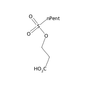 CCCCCS(=O)(=O)OCCC(=O)O